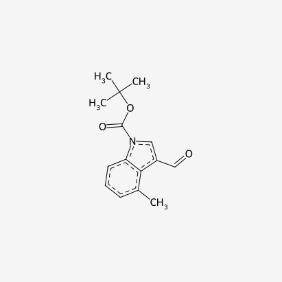 Cc1cccc2c1c(C=O)cn2C(=O)OC(C)(C)C